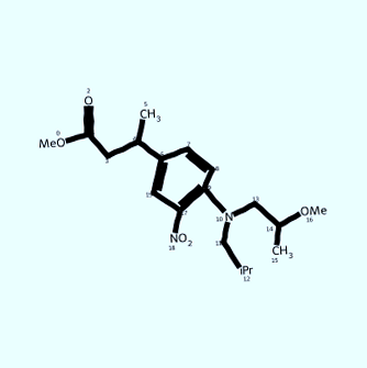 COC(=O)CC(C)c1ccc(N(CC(C)C)CC(C)OC)c([N+](=O)[O-])c1